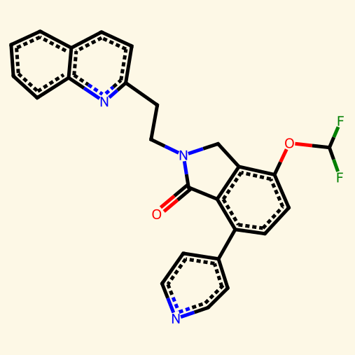 O=C1c2c(-c3ccncc3)ccc(OC(F)F)c2CN1CCc1ccc2ccccc2n1